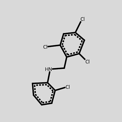 Clc1cc(Cl)c(CNc2ccccc2Cl)c(Cl)c1